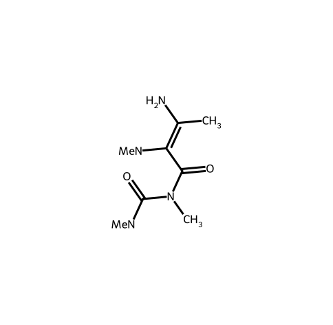 CNC(=O)N(C)C(=O)/C(NC)=C(\C)N